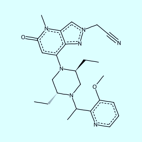 CC[C@H]1CN(C(C)c2ncccc2OC)[C@H](CC)CN1c1cc(=O)n(C)c2cn(CC#N)nc12